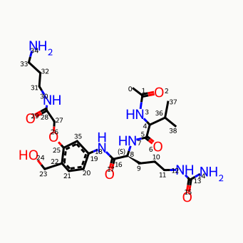 CC(=O)NC(C(=O)N[C@@H](CCCNC(N)=O)C(=O)Nc1ccc(CO)c(OCC(=O)NCCCN)c1)C(C)C